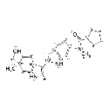 CN(C(=O)C1CCCC1)c1ccc2cc(-c3n[nH]c4c3CCC(C)(CO)C4)[nH]c2c1